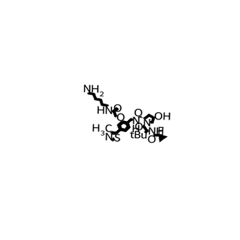 Cc1ncsc1-c1ccc(CNC(=O)[C@@H]2C[C@@H](O)CN2C(=O)C(NC(=O)C2(F)CC2)C(C)(C)C)c(OCC(=O)NCCCCCCN)c1